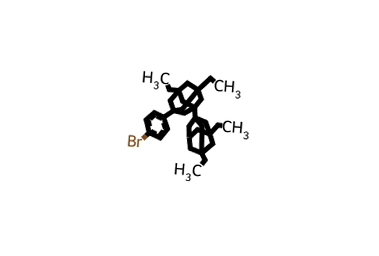 CCC12CC3CC(CC)(C1)CC(C14CC5(CC)CC(CC)(CC(c6ccc(Br)cc6)(C5)C1)C4)(C3)C2